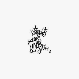 CC(C)(C)NC(=O)N[C@@H](CNC(=O)OC(C)(C)C)C(=O)N1CC2C(C1C(=O)NC(CC1CCC1)C(O)C(N)=O)C2(C)C